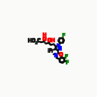 CC(C)c1c(C(=O)N(C)Cc2ccc(F)c(F)c2)nn(-c2ccc(F)cc2)c1CC[C@@H](O)C[C@@H](O)CC(=O)O